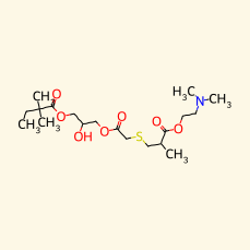 CCC(C)(C)C(=O)OCC(O)COC(=O)CSCC(C)C(=O)OCCN(C)C